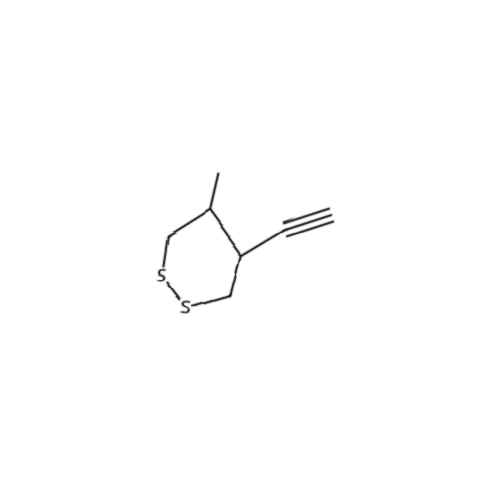 C#CC1CSSCC1C